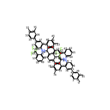 Cc1ccc(-c2ccc(N(C3=C4C=CC5=C6C(=CC=C(C=C3)C46)C(N(c3ccc(-c4ccc(C)c(C)c4)cc3-c3ccc(C)c(C)c3)c3ccccc3C(F)(F)F)C=C5)c3ccccc3C(F)(F)F)c(-c3ccc(C)c(C)c3)c2)cc1C